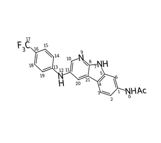 CC(=O)Nc1ccc2c(c1)[nH]c1ncc(Nc3ccc(C(F)(F)F)cc3)cc12